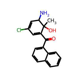 CC1(O)C(C(=O)c2cccc3ccccc23)=CC(Cl)=CC1N